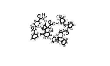 CN(C)C1(CCc2ccccc2)CCC(C(N)=O)CC1.Cc1onc(-c2c(F)cccc2Cl)c1OC(=O)O.O=C(NC1CCC(Cc2ccccc2)(N2CCCC2)CC1)c1cccnc1Sc1ccc(Cl)cc1